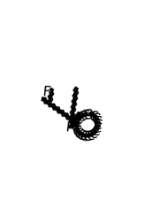 CCCCCCCCCCCC(CCCCCCCCCC(CCC)CCCC(C)F)C(C)(CCCC)C(CI)C1CCCCCCCCCCCCCCC(C)CCCCC1